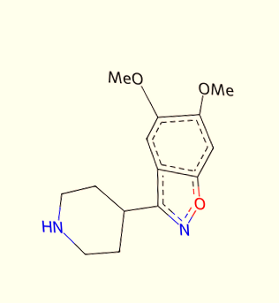 COc1cc2onc(C3CCNCC3)c2cc1OC